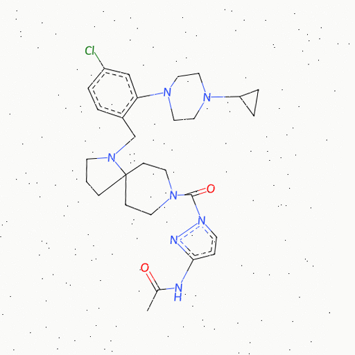 CC(=O)Nc1ccn(C(=O)N2CCC3(CCCN3Cc3ccc(Cl)cc3N3CCN(C4CC4)CC3)CC2)n1